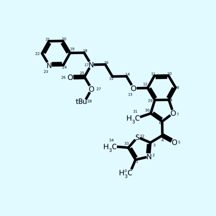 Cc1nc(C(=O)c2oc3cccc(OCCCN(Cc4cccnc4)C(=O)OC(C)(C)C)c3c2C)sc1C